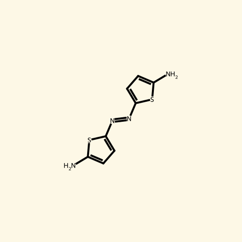 Nc1ccc(N=Nc2ccc(N)s2)s1